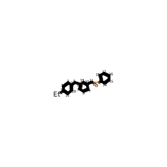 CCc1ccc(Cc2cccc(CSc3[c]cccc3)c2)cc1